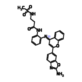 CS(=O)(=O)NCCC(=O)Nc1ccccc1/N=c1\cc(-c2ccc3nc(N)oc3c2)oc2ccccc12